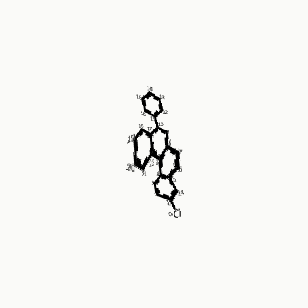 Clc1ccc2c(ccc3cc(-c4ccccc4)c4ccccc4c32)c1